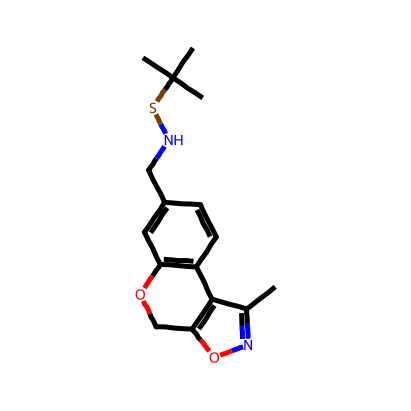 Cc1noc2c1-c1ccc(CNSC(C)(C)C)cc1OC2